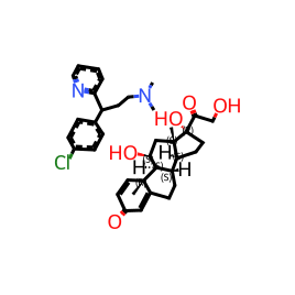 CN(C)CCC(c1ccc(Cl)cc1)c1ccccn1.C[C@]12C=CC(=O)C=C1CC[C@@H]1[C@@H]2[C@@H](O)C[C@@]2(C)[C@H]1CC[C@]2(O)C(=O)CO